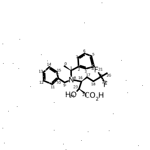 C[C@@H](c1ccccc1)N(Cc1ccccc1)[C@@H](CCC(C)(F)F)[C@H](O)C(=O)O